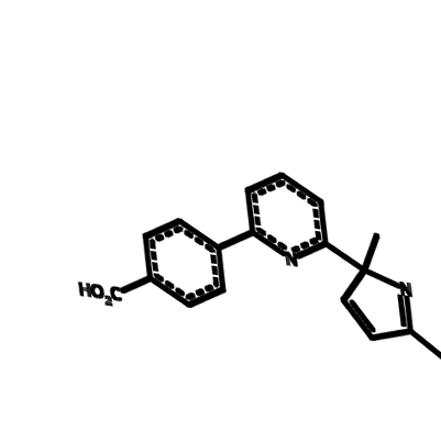 CC1=NC(C)(c2cccc(-c3ccc(C(=O)O)cc3)n2)C=C1